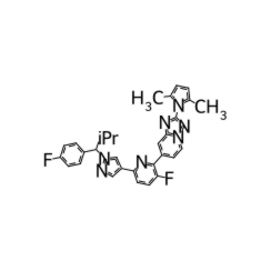 Cc1ccc(C)n1-c1nc2cc(-c3nc(-c4cnn(C(c5ccc(F)cc5)C(C)C)c4)ccc3F)ccn2n1